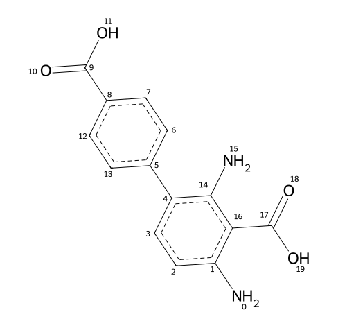 Nc1ccc(-c2ccc(C(=O)O)cc2)c(N)c1C(=O)O